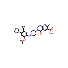 COC(=O)c1cc2c(nc1C)CCN(C1CCN(Cc3cc(C4CC4)c(C4CCCC4)cc3OC(C)C)CC1)C2=O